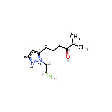 CC(C)C(=O)CCCc1ccnn1CC[18F]